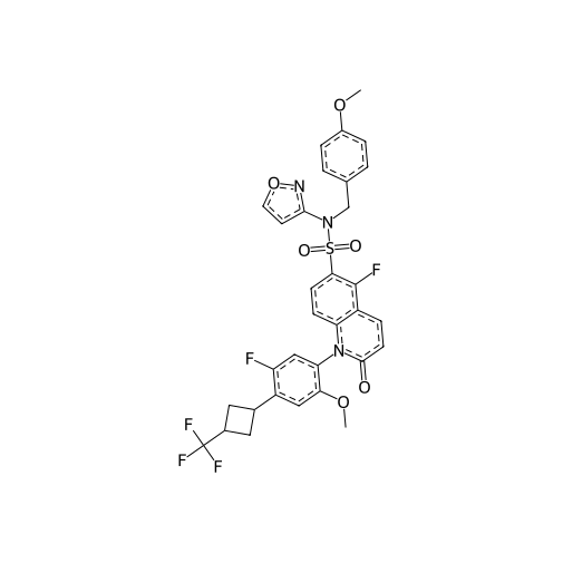 COc1ccc(CN(c2ccon2)S(=O)(=O)c2ccc3c(ccc(=O)n3-c3cc(F)c(C4CC(C(F)(F)F)C4)cc3OC)c2F)cc1